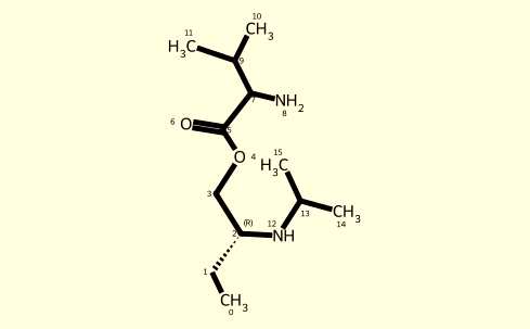 CC[C@H](COC(=O)C(N)C(C)C)NC(C)C